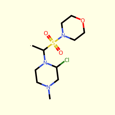 [CH2]C(N1CCN(C)CC1Cl)S(=O)(=O)N1CCOCC1